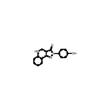 O=c1c2c[nH]c3ccccc3c-2nn1-c1ccc(O)cc1